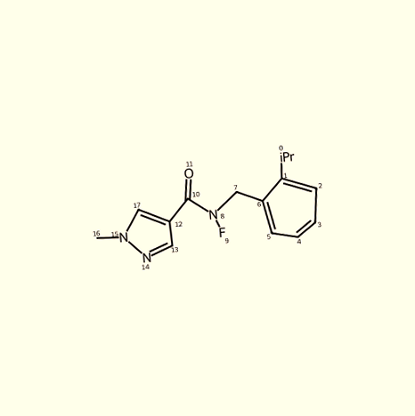 CC(C)c1ccccc1CN(F)C(=O)c1cnn(C)c1